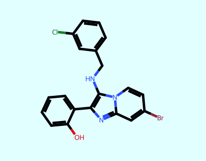 Oc1ccccc1-c1nc2cc(Br)ccn2c1NCc1cccc(Cl)c1